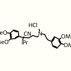 COc1ccc(CCN(C)CCC[C@](C#N)(c2ccc(OC)c(OC)c2)C(C)C)cc1OC.Cl